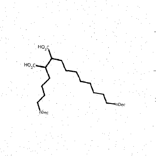 CCCCCCCCCCCCCCCCCCC(C(=O)O)C(CCCCCCCCCCCCCC)C(=O)O